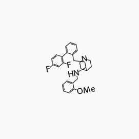 COc1ccccc1CNC1C2CCN(CC2)C1Cc1ccccc1-c1ccc(F)cc1F